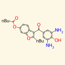 CCCCC(=O)Oc1ccc2c(C(=O)c3cc(N)c(O)c(N)c3)c(CCCC)oc2c1